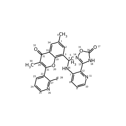 Cc1cc(C(C)Nc2cccnc2-c2noc(=O)[nH]2)c2oc(-c3cccnc3F)c(C)c(=O)c2c1